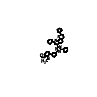 C=Nc1c(/C=C\C)cccc1-c1cccc(-c2nc(-c3ccccc3)nc(-c3cc(-c4ccccc4)nc4c3ccc3ccc(-c5ccccc5)nc34)n2)c1